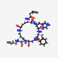 CC(=O)NCC(=O)N[C@H]1CCC(=O)NCC[C@@H](C(=O)NCC(=O)O)NC(=O)CNC(=O)[C@@H](Cc2ccccc2)NC(=O)[C@H](Cc2c[nH]cn2)NC1=O